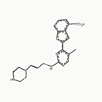 Cc1cnc(NCCCN2CCNCC2)nc1-c1cc2c(C(=O)O)cccc2s1